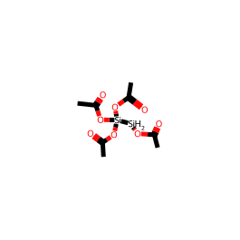 CC(=O)O[SiH2][Si](OC(C)=O)(OC(C)=O)OC(C)=O